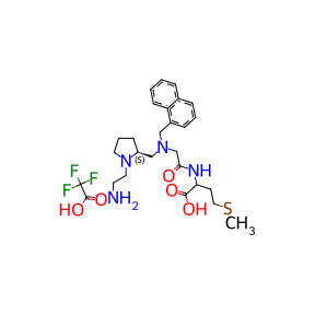 CSCCC(NC(=O)CN(Cc1cccc2ccccc12)C[C@@H]1CCCN1CCN)C(=O)O.O=C(O)C(F)(F)F